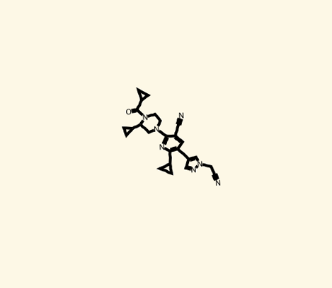 N#CCn1cc(-c2cc(C#N)c(N3CCN(C(=O)C4CC4)C(C4CC4)C3)nc2C2CC2)cn1